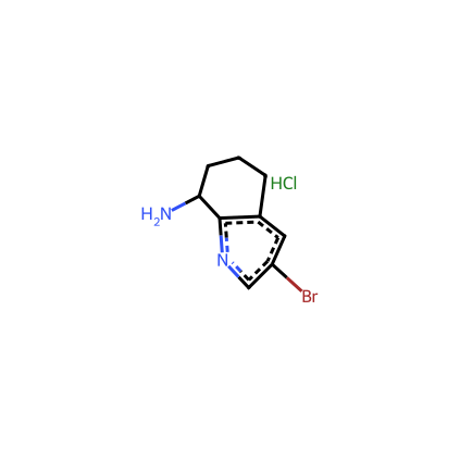 Cl.NC1CCCc2cc(Br)cnc21